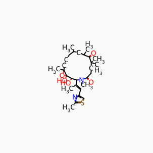 CC(=Cc1csc(C)n1)C1C(O)C2(O)OC2(C)CCCC(C)CC(C)C(=O)C(C)(C)CCC(=O)N1C